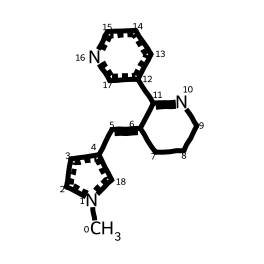 Cn1ccc(C=C2CCCN=C2c2cccnc2)c1